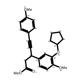 COC(=O)CC(C#Cc1ccc(OC)cc1)c1ccc(OC)c(OC2CCCC2)c1